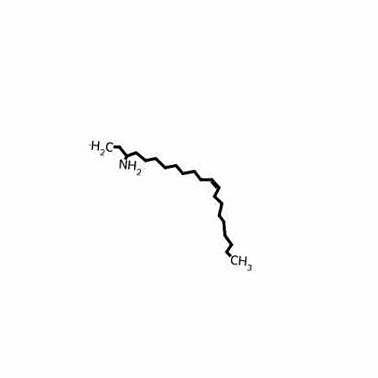 [CH2]CC(N)CCCCCCCC/C=C\CCCCCCCC